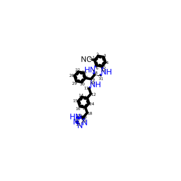 N#Cc1cccc2c1N[C@@H]([C@H](NCCc1cccc(Cc3nnn[nH]3)c1)c1ccccc1)CN2